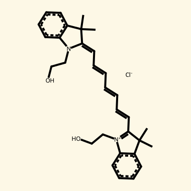 CC1(C)C(/C=C/C=C/C=C/C=C2\N(CCO)c3ccccc3C2(C)C)=[N+](CCO)c2ccccc21.[Cl-]